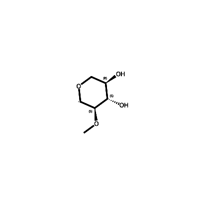 CO[C@H]1[CH]OC[C@@H](O)[C@@H]1O